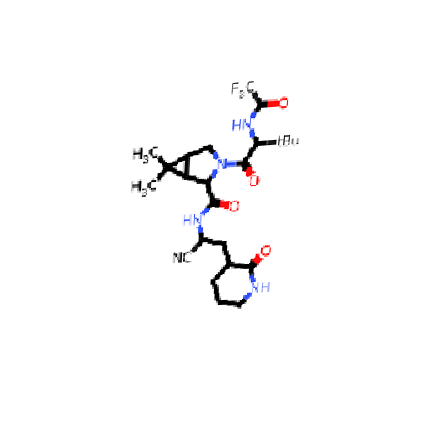 CC(C)(C)C(NC(=O)C(F)(F)F)C(=O)N1CC2C(C1C(=O)NC(C#N)CC1CCCNC1=O)C2(C)C